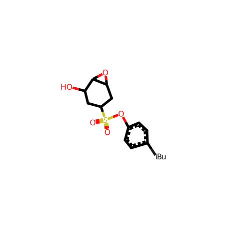 CCC(C)c1ccc(OS(=O)(=O)C2CC(O)C3OC3C2)cc1